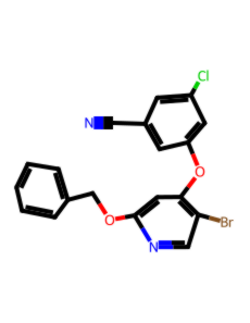 N#Cc1cc(Cl)cc(Oc2cc(OCc3ccccc3)ncc2Br)c1